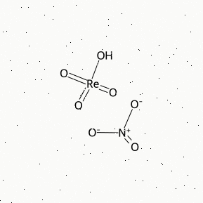 O=[N+]([O-])[O-].[O]=[Re](=[O])(=[O])[OH]